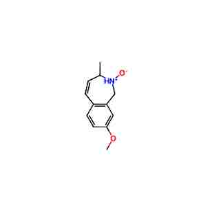 COc1ccc2c(c1)C[NH+]([O-])C(C)C=C2